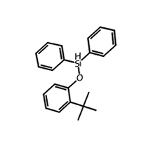 CC(C)(C)c1ccccc1O[SiH](c1ccccc1)c1ccccc1